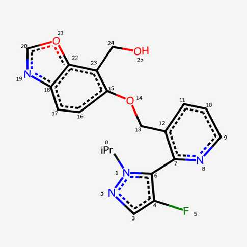 CC(C)n1ncc(F)c1-c1ncccc1COc1ccc2ncoc2c1CO